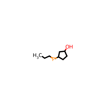 CCC[P]C1CCC(O)C1